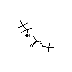 CC(C)(C)COC(=O)CNC(C)(C)C(C)(C)C